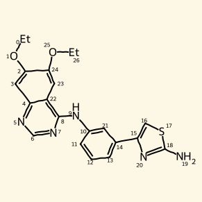 CCOc1cc2ncnc(Nc3cccc(-c4csc(N)n4)c3)c2cc1OCC